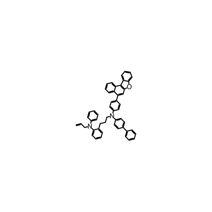 C=CCN(c1ccccc1)c1ccccc1CCCN(c1ccc(-c2ccccc2)cc1)c1ccc(-c2cc3oc4ccccc4c3c3ccccc23)cc1